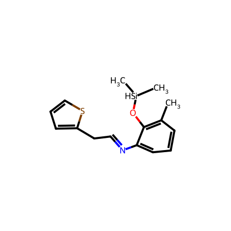 Cc1cccc(N=CCc2cccs2)c1O[SiH](C)C